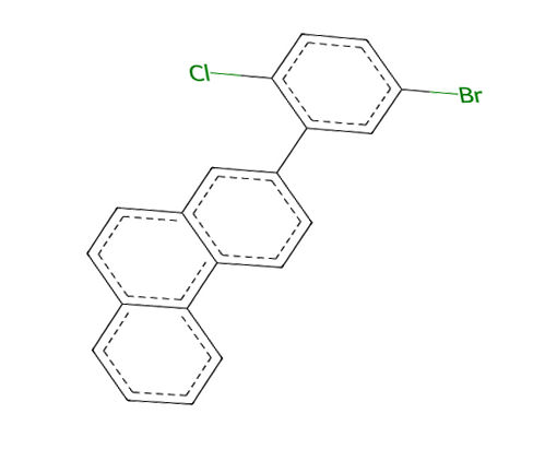 Clc1ccc(Br)cc1-c1ccc2c(ccc3ccccc32)c1